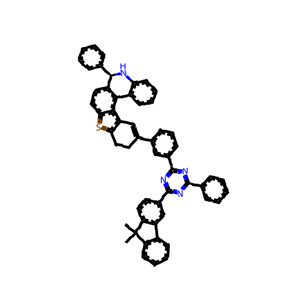 CC1(C)c2ccccc2-c2cc(-c3nc(-c4ccccc4)nc(-c4cccc(C5=Cc6c(sc7ccc8c(c67)-c6ccccc6NC8c6ccccc6)CC5)c4)n3)ccc21